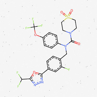 O=C(N1CCS(=O)(=O)CC1)N(Cc1ccc(-c2nnc(C(F)F)o2)cc1F)c1ccc(OC(F)(F)F)cc1